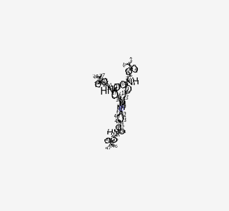 C=C(C)C(=O)OCCNC(=O)OCCN(CCOC(=O)NCCOC(=O)C(=C)C)/N=N/c1ccc(COC(=O)NCCOC(=O)C(=C)C)cc1